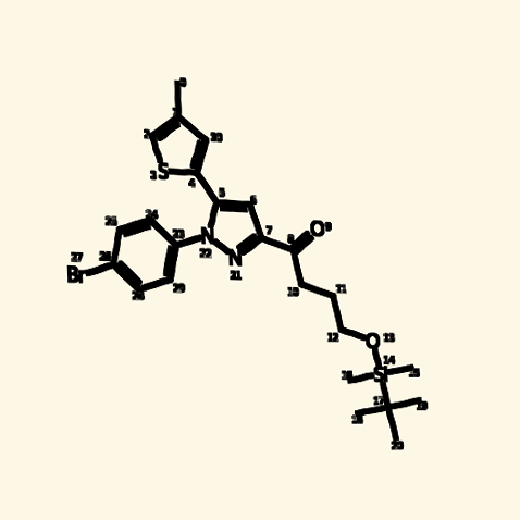 Cc1csc(-c2cc(C(=O)CCCO[Si](C)(C)C(C)(C)C)nn2-c2ccc(Br)cc2)c1